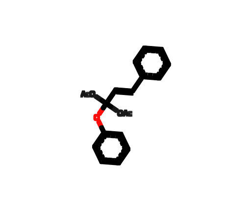 CC(=O)OC(C=Cc1ccccc1)(OC(C)=O)Oc1ccccc1